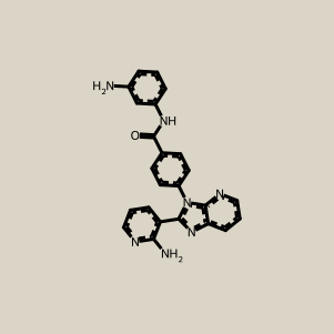 Nc1cccc(NC(=O)c2ccc(-n3c(-c4cccnc4N)nc4cccnc43)cc2)c1